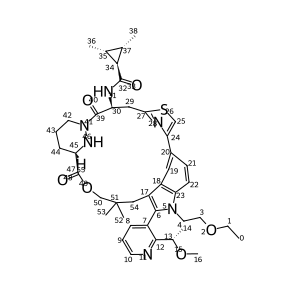 CCOCCn1c(-c2cccnc2[C@H](C)OC)c2c3cc(ccc31)-c1csc(n1)C[C@H](NC(=O)[C@H]1[C@H](C)[C@@H]1C)C(=O)N1CCC[C@H](N1)C(=O)OCC(C)(C)C2